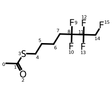 CC(=O)SCCCCC(F)(F)C(F)(F)CF